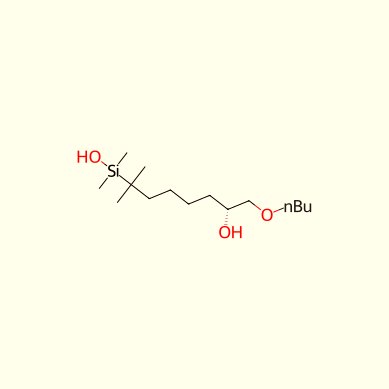 CCCCOC[C@H](O)CCCCC(C)(C)[Si](C)(C)O